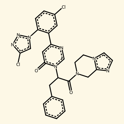 O=C(C(Cc1ccccc1)n1cnc(-c2cc(Cl)ccc2-n2cc(Cl)nn2)cc1=O)N1CCn2ccnc2C1